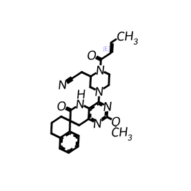 C/C=C/C(=O)N1CCN(c2nc(OC)nc3c2NC(=O)C2(CCCc4ccccc42)C3)CC1CC#N